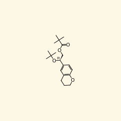 CC(C)(C)O[C@@H](COC(=O)C(C)(C)C)c1ccc2c(c1)CCCO2